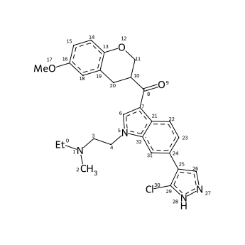 CCN(C)CCn1cc(C(=O)C2COc3ccc(OC)cc3C2)c2ccc(-c3cn[nH]c3Cl)cc21